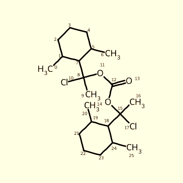 CC1CCCC(C)C1C(C)(Cl)OC(=O)OC(C)(Cl)C1C(C)CCCC1C